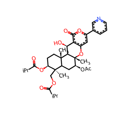 CC(=O)O[C@H]1CC2[C@](C)(CC[C@H](OC(=O)C(C)C)[C@]2(C)COC(=O)C(C)C)C2[C@@H](O)c3c(cc(-c4cccnc4)oc3=O)O[C@@]21C